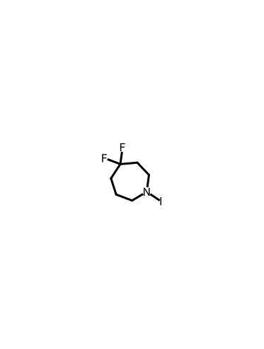 FC1(F)CCCN(I)CC1